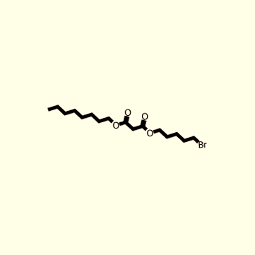 CCCCCCCCOC(=O)CC(=O)OCCCCCBr